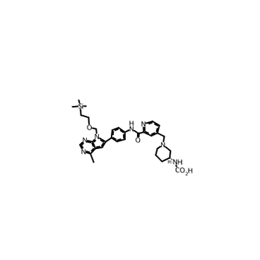 Cc1ncnc2c1cc(-c1ccc(NC(=O)c3cc(CN4CCC[C@@H](NC(=O)O)C4)ccn3)cc1)n2COCC[Si](C)(C)C